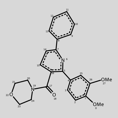 COc1ccc(-c2nc(-c3ccccc3)ccc2C(=O)N2CCOCC2)cc1OC